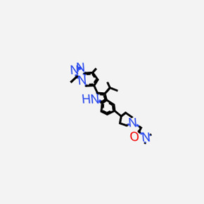 Cc1cc(-c2[nH]c3ccc(C4CCN(CC(=O)N(C)C)CC4)cc3c2C(C)C)cn2c(C)nnc12